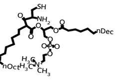 CCCCCCCC/C=C\CCCCCCC(C(=O)OC(COC(=O)CCCCCCCCCCCCCCC)COP(=O)([O-])OCC[N+](C)(C)C)C(=O)C(N)CS